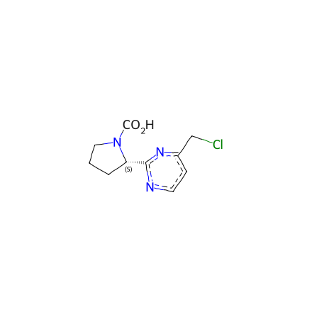 O=C(O)N1CCC[C@H]1c1nccc(CCl)n1